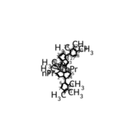 CCCC1=Cc2c(-c3ccc(C)c(C)c3C)cccc2[CH]1[Zr]([CH]1C(CCC)=Cc2c(-c3ccc(C)c(C)c3C)cccc21)[SiH](C)C